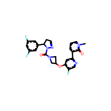 Cn1cccc(-c2cc(OC3CN(C(=O)N4N=CCC4c4cc(F)cc(F)c4)C3)c(F)cn2)c1=O